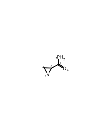 O=C(P)C1CS1